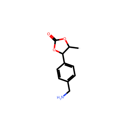 [CH2]C1OC(=O)OC1c1ccc(CN)cc1